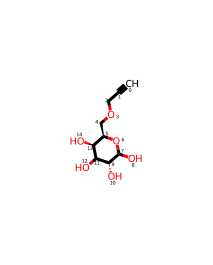 C#CCOC[C@H]1OC(O)[C@H](O)C(O)[C@H]1O